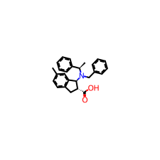 Cc1ccc2c(c1)[C@@H](N(Cc1ccccc1)[C@H](C)c1ccccc1)[C@H](C(=O)O)C2